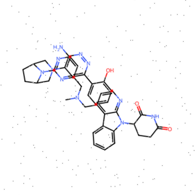 CN(Cc1ccnc(N2C3CCC2CN(c2cc(-c4ccccc4O)nnc2N)C3)n1)Cc1ccnc2c1c1ccccc1n2C1CCC(=O)NC1=O